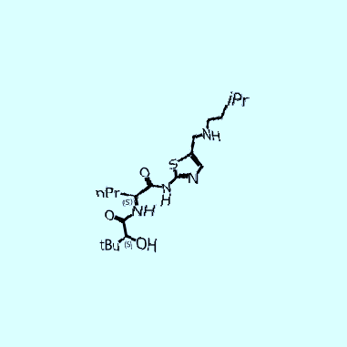 CCC[C@H](NC(=O)[C@@H](O)C(C)(C)C)C(=O)Nc1ncc(CNCCC(C)C)s1